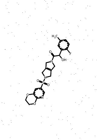 Cc1ccc(F)c(C(O)C(=O)N2CC3=C(C2)CN(S(=O)(=O)c2cnc4c(c2)OCCO4)C3)c1